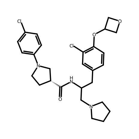 O=C(NC(Cc1ccc(OC2COC2)c(Cl)c1)CN1CCCC1)[C@@H]1CCN(c2ccc(Cl)cc2)C1